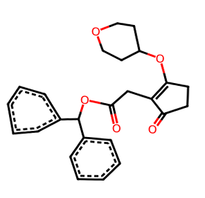 O=C(CC1=C(OC2CCOCC2)CCC1=O)OC(c1ccccc1)c1ccccc1